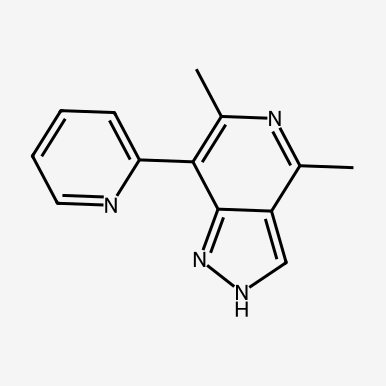 Cc1nc(C)c2c[nH]nc2c1-c1ccccn1